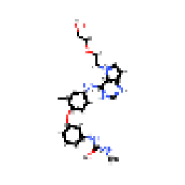 Cc1cc(Nc2ncnc3ccn(CCOCCO)c23)ccc1Oc1cccc(NC(=O)NC(C)(C)C)c1